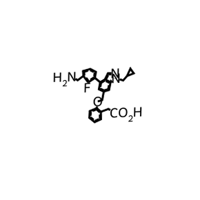 NCc1cccc(-c2cc(COc3ccccc3CC(=O)O)cc3c2cnn3CC2CC2)c1F